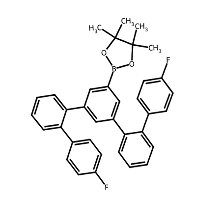 CC1(C)OB(c2cc(-c3ccccc3-c3ccc(F)cc3)cc(-c3ccccc3-c3ccc(F)cc3)c2)OC1(C)C